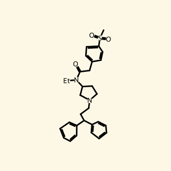 CCN(C(=O)Cc1ccc(S(C)(=O)=O)cc1)C1CCN(CCC(c2ccccc2)c2ccccc2)C1